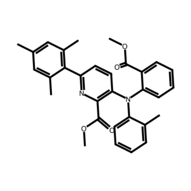 COC(=O)c1ccccc1N(c1ccccc1C)c1ccc(-c2c(C)cc(C)cc2C)nc1C(=O)OC